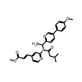 BC(c1ccc(-c2ccc(OC)cc2)cn1)N(C(=O)CC(C)C)c1cc(/C=C/C(=O)OC)ccn1